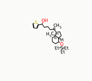 CC[Si](CC)(CC)OC1CCC[C@]2(C)[C@@H]([C@H](C)CCCC(O)c3cccs3)CC[C@@H]12